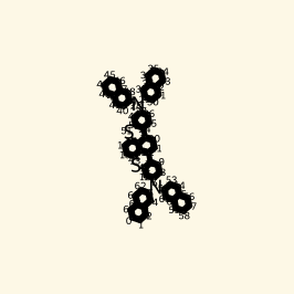 c1ccc2cc(N(c3ccc4c(c3)Sc3ccc5c6c(ccc-4c36)-c3ccc(N(c4ccc6ccccc6c4)c4ccc6ccccc6c4)cc3S5)c3ccc4ccccc4c3)ccc2c1